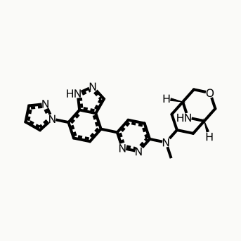 CN(c1ccc(-c2ccc(-n3cccn3)c3[nH]ncc23)nn1)C1C[C@H]2COC[C@@H](C1)N2